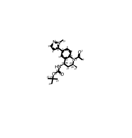 CC(=O)N1c2ccc(-c3ccnn3C)cc2[C@H](NC(=O)OC(C)(C)C)C[C@@H]1C